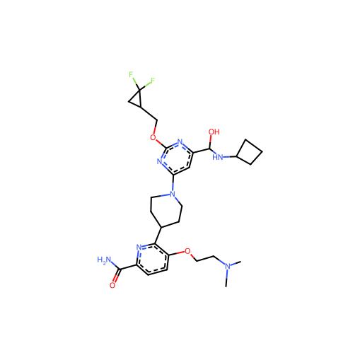 CN(C)CCOc1ccc(C(N)=O)nc1C1CCN(c2cc(C(O)NC3CCC3)nc(OCC3CC3(F)F)n2)CC1